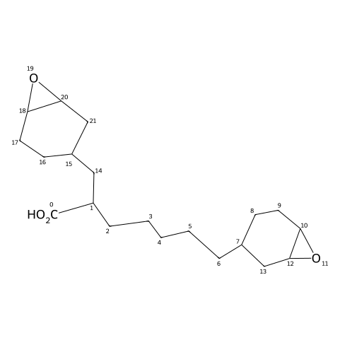 O=C(O)C(CCCCCC1CCC2OC2C1)CC1CCC2OC2C1